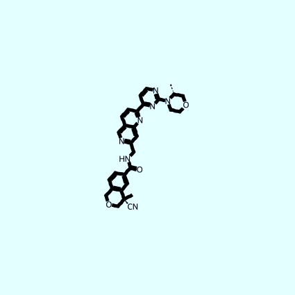 C[C@@H]1COCCN1c1nccc(-c2ccc3cnc(CNC(=O)c4ccc5c(c4)[C@](C)(C#N)COC5)cc3n2)n1